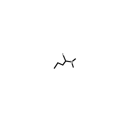 CCCC(I)N(C)C